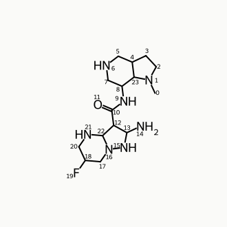 CN1CCC2CNCC(NC(=O)C3C(N)NN4CC(F)CNC34)C21